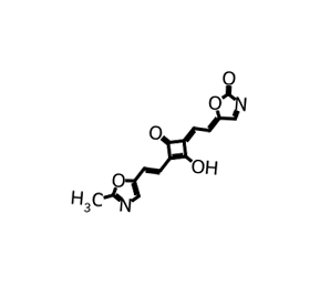 Cc1ncc(/C=C/C2=C(O)C(=C\C=C3\C=NC(=O)O3)/C2=O)o1